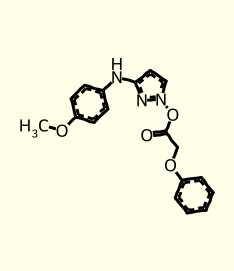 COc1ccc(Nc2ccn(OC(=O)COc3ccccc3)n2)cc1